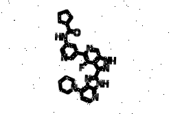 O=C(Nc1cncc(-c2ncc3[nH]nc(-c4nc5c(N6CCCCC6)ccnc5[nH]4)c3c2F)c1)C1CCCC1